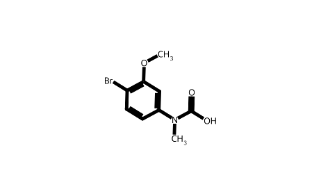 COc1cc(N(C)C(=O)O)ccc1Br